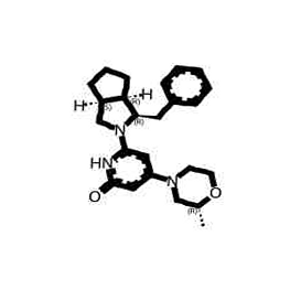 C[C@@H]1CN(c2cc(N3C[C@H]4CCC[C@H]4[C@H]3Cc3ccccc3)[nH]c(=O)c2)CCO1